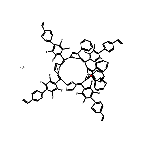 C=Cc1ccc(-c2c(F)c(F)c(-c3c4nc(c(-c5c(F)c(F)c(-c6ccc(C=C)cc6)c(F)c5F)c5c(-c6ccccc6)c(-c6ccccc6)c(c(-c6c(F)c(F)c(-c7ccc(C=C)cc7)c(F)c6F)c6nc(c(-c7c(F)c(F)c(-c8ccc(C=C)cc8)c(F)c7F)c7ccc3[nH]7)C=C6c3ccccc3)n5-c3ccccc3)C=C4)c(F)c2F)cc1.[Pt+2]